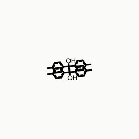 Cc1ccc(C(O)(c2ccc(C)cc2)C(O)(c2ccc(C)cc2)c2ccc(C)cc2)cc1